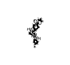 CC(C)(C)OC(=O)N1CCC(O)(Cc2nccc3nc(Nc4ccc(F)cc4)nn23)CC1